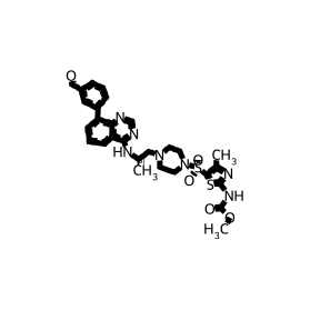 COC(=O)Nc1nc(C)c(S(=O)(=O)N2CCN(C[C@H](C)Nc3ncnc4c(-c5cccc(C=O)c5)cccc34)CC2)s1